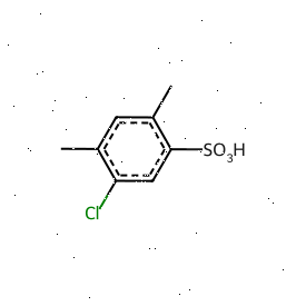 Cc1cc(C)c(S(=O)(=O)O)cc1Cl